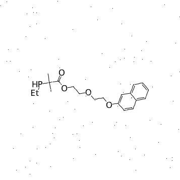 CCPC(C)(C)C(=O)OCCOCCOc1ccc2ccccc2c1